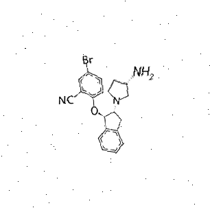 N#Cc1cc(Br)ccc1O[C@@H]1c2ccccc2C[C@H]1N1CC[C@H](N)C1